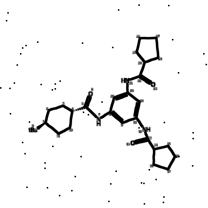 CC(C)(C)[C@H]1CC[C@H](C(=O)Nc2cc(NC(=O)C3CCCC3)cc(NC(=O)C3CCCC3)c2)CC1